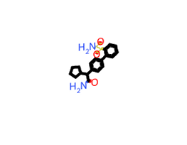 NC(=O)C(c1ccc(-c2ccccc2S(N)(=O)=O)cc1)C1CCCC1